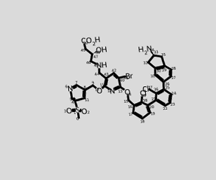 CS(=O)(=O)c1cncc(COc2nc(OCc3cccc(-c4cccc(-c5ccc6c(c5)C[C@@H](N)C6)c4Cl)c3Cl)c(Br)cc2CNC[C@@H](O)CC(=O)O)c1